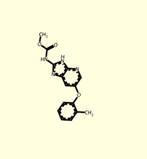 COC(=O)Nc1nc2cc(Oc3ccccc3C)cnc2[nH]1